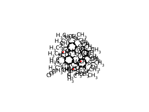 CC1=C(C)[C]([Ti+3])([Si](c2c(C)c([Si](C)(C)C)c([Si](C)(C)C)c([Si](C)(C)C)c2[Si](C)(C)C)(c2c(C)c([Si](C)(C)C)c([Si](C)(C)C)c([Si](C)(C)C)c2[Si](C)(C)C)c2c(C)c([Si](C)(C)C)c([Si](C)(C)C)c([Si](C)(C)C)c2[Si](C)(C)C)C(C)=C1C.[Cl-].[Cl-].[Cl-]